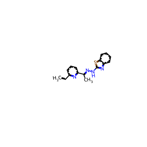 C=Cc1cccc(/C(C)=N/Nc2nc3ccccc3s2)n1